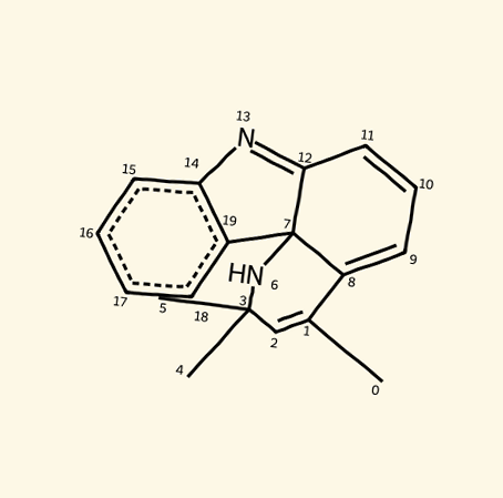 CC1=CC(C)(C)NC23C1=CC=CC2=Nc1ccccc13